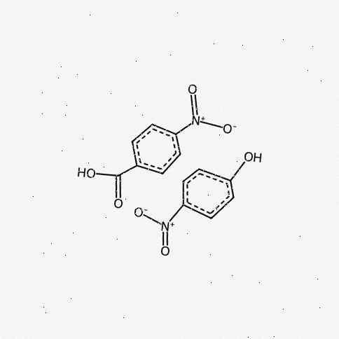 O=C(O)c1ccc([N+](=O)[O-])cc1.O=[N+]([O-])c1ccc(O)cc1